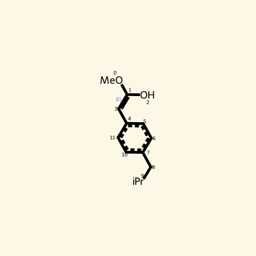 CO/C(O)=C/c1ccc(CC(C)C)cc1